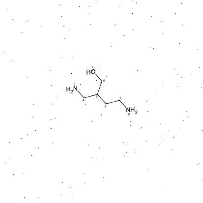 NCCC(CN)CO